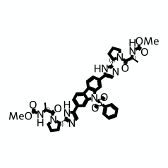 COC(=O)N[C@@H](C)C(=O)N1CCC[C@H]1c1ncc(-c2ccc3c4ccc(-c5cnc([C@@H]6CCCN6C(=O)[C@H](C)NC(=O)OC)[nH]5)cc4n(S(=O)(=O)c4ccccc4)c3c2)[nH]1